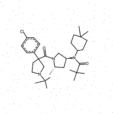 C[C@H]1C[C@H](N(C(=O)C(C)(C)C)C2CCC(C)(C)CC2)CN1C(=O)C1(c2ccc(Cl)cc2)CCN(C(C)(C)C)C1